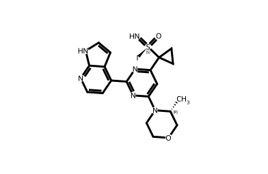 C[C@@H]1COCCN1c1cc(C2([S@](=N)(=O)I)CC2)nc(-c2ccnc3[nH]ccc23)n1